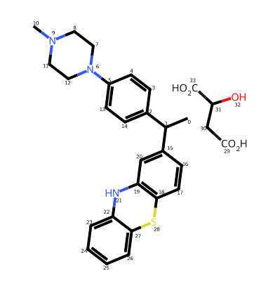 CC(c1ccc(N2CCN(C)CC2)cc1)c1ccc2c(c1)Nc1ccccc1S2.O=C(O)CC(O)C(=O)O